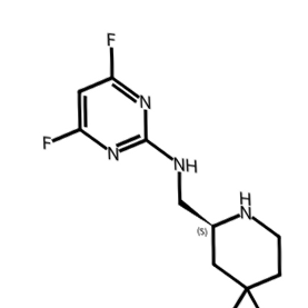 Fc1cc(F)nc(NC[C@@H]2CC3(CCN2)CC3)n1